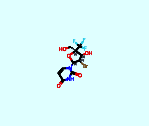 O=c1ccn([C@@H]2O[C@@](CO)(C(F)(F)F)[C@@H](O)[C@H]2Br)c(=O)[nH]1